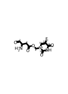 NC(C=O)CC(=O)OCn1cc(F)c(=O)[nH]c1=O